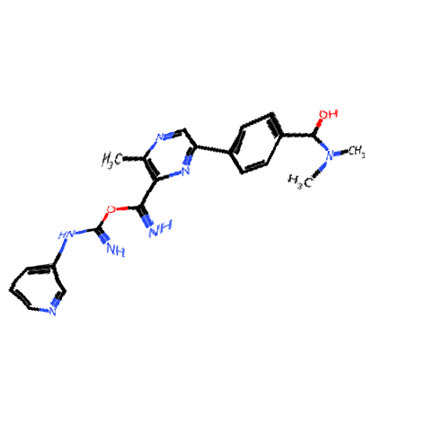 Cc1ncc(-c2ccc(C(O)N(C)C)cc2)nc1C(=N)OC(=N)Nc1cccnc1